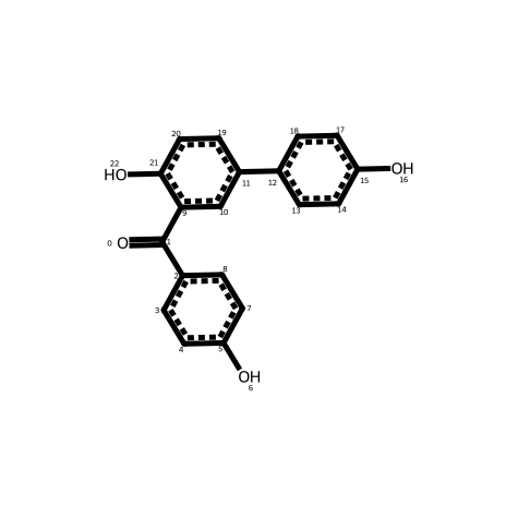 O=C(c1ccc(O)cc1)c1cc(-c2ccc(O)cc2)ccc1O